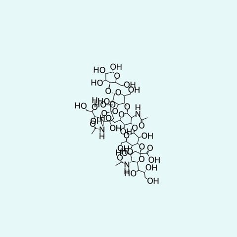 CC(=O)NC1C(O[C@@H]2OC(CO)[C@H](O)C(O[C@]3(C(=O)O)CC(O)[C@@H](NC(C)=O)C([C@H](O)[C@H](O)CO)O3)C2O)[C@@H](O)C(CO)O[C@H]1O[C@H]1C(CO)O[C@@H](O[C@@H]2C(CO)O[C@@H](O)C(O)C2O)C(O)C1O[C@]1(C(=O)O)CC(O)[C@@H](NC(C)=O)C([C@H](O)[C@H](O)CO)O1